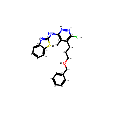 Cc1c(Nc2nc3ccccc3s2)nnc(Cl)c1CCCOCc1ccccc1